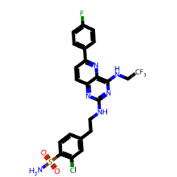 NS(=O)(=O)c1ccc(CCNc2nc(NCC(F)(F)F)c3nc(-c4ccc(F)cc4)ccc3n2)cc1Cl